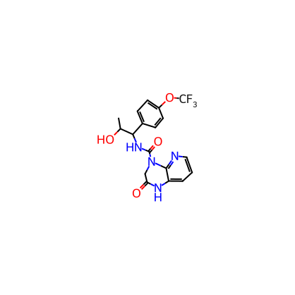 CC(O)C(NC(=O)N1CC(=O)Nc2cccnc21)c1ccc(OC(F)(F)F)cc1